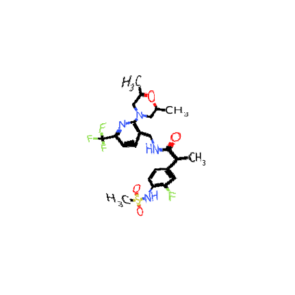 CC1CN(c2nc(C(F)(F)F)ccc2CNC(=O)C(C)c2ccc(NS(C)(=O)=O)c(F)c2)CC(C)O1